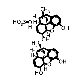 CN1CC[C@]23c4c5ccc(O)c4O[C@H]2[C@@H](O)C=C[C@H]3[C@H]1C5.CN1CC[C@]23c4c5ccc(O)c4O[C@H]2[C@@H](O)C=C[C@H]3[C@H]1C5.O=S(=O)(O)O